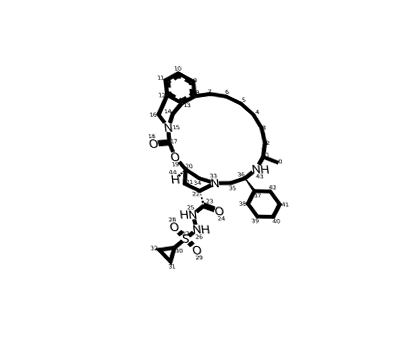 CC1CCCCCCc2cccc3c2CN(C3)C(=O)O[C@@H]2C[C@@H](C(=O)NNS(=O)(=O)C3CC3)N(C2)C[C@H](C2CCCCC2)N1